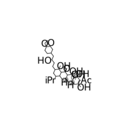 CC(=O)C1=C(O)C[C@@H]2C[C@@H]3CC4C(C(C)C)CC(CCC(O)CC5CCC6OCOC6C5)C(O)C4C(=O)C3C(O)[C@]2(O)C1O